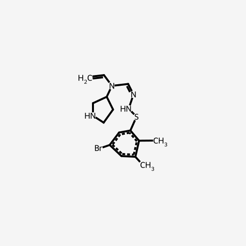 C=CN(/C=N\NSc1cc(Br)cc(C)c1C)C1CCNC1